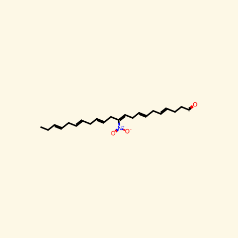 CC/C=C/C/C=C/C/C=C/C/C(=C/C/C=C/C/C=C/CC[C]=O)[N+](=O)[O-]